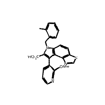 COc1ncccc1-c1c(C(=O)O)n(Cc2ccccc2C)c2ccc3scnc3c12